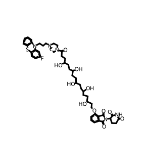 O=C1CCC(N2C(=O)c3cccc(OCCC(O)CCC(O)CCC(O)CCC(O)CCC(O)CCC(=O)N4CCN(CCCN5c6ccccc6Sc6ccc(F)cc65)CC4)c3C2=O)C(=O)N1